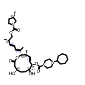 C/C(=C\C=C\[C@@H](C)COC(=O)N1CC[C@@H](F)C1)[C@H]1OC(=O)C[C@@H](O)CC[C@](C)(O)[C@H](OC(=O)N2CCN(C3CCCCCC3)CC2)/C=C/[C@@H]1C